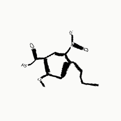 CCCc1cc(OC)c(C(=O)S)cc1[N+](=O)[O-]